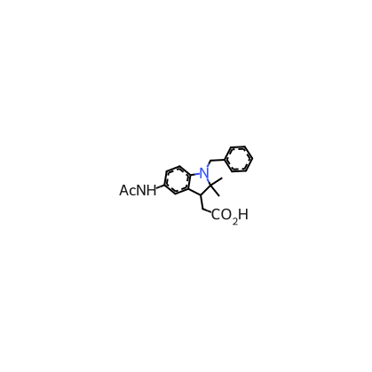 CC(=O)Nc1ccc2c(c1)C(CC(=O)O)C(C)(C)N2Cc1ccccc1